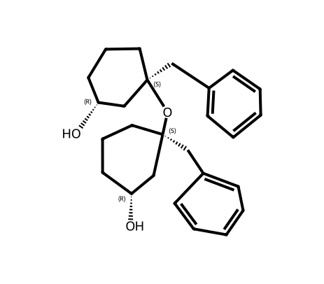 O[C@@H]1CCC[C@@](Cc2ccccc2)(O[C@]2(Cc3ccccc3)CCC[C@@H](O)C2)C1